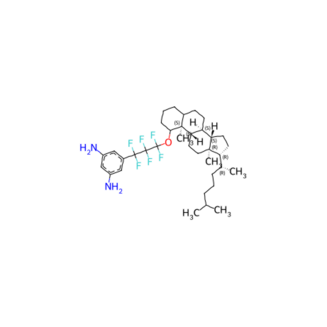 CC(C)CCC[C@@H](C)[C@H]1CC[C@H]2[C@@H]3CCC4CCCC(OC(F)(F)C(F)(F)C(F)(F)c5cc(N)cc(N)c5)[C@]4(C)[C@H]3CC[C@]12C